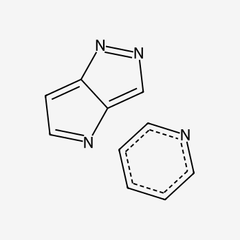 C1=NC2=CN=NC2=C1.c1ccncc1